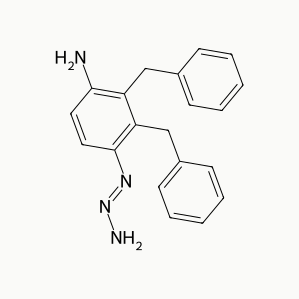 NN=Nc1ccc(N)c(Cc2ccccc2)c1Cc1ccccc1